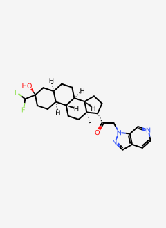 C[C@]12CC[C@H]3[C@@H](CC[C@@H]4C[C@@](O)(C(F)F)CC[C@@H]43)[C@@H]1CC[C@@H]2C(=O)Cn1ncc2ccncc21